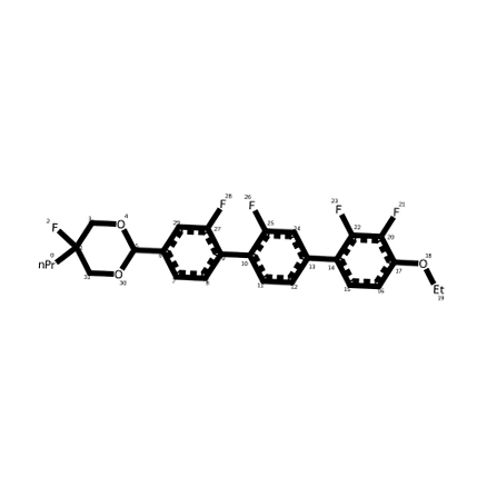 CCCC1(F)COC(c2ccc(-c3ccc(-c4ccc(OCC)c(F)c4F)cc3F)c(F)c2)OC1